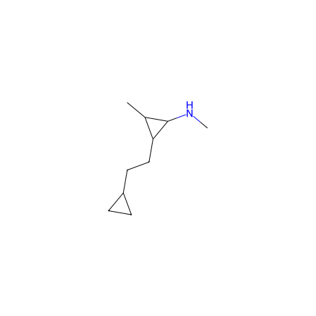 CNC1C(C)C1CCC1CC1